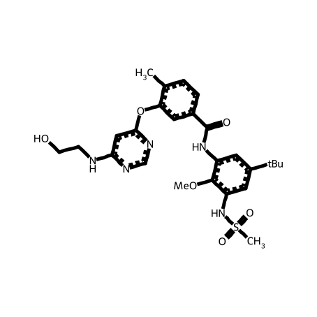 COc1c(NC(=O)c2ccc(C)c(Oc3cc(NCCO)ncn3)c2)cc(C(C)(C)C)cc1NS(C)(=O)=O